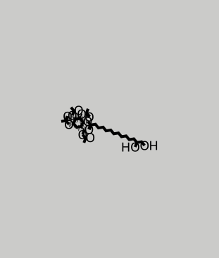 CC(=O)OC[C@H]1C[C@@H](OC(C)=O)[C@H](OC(C)=O)[C@@H](OC(C)=O)[C@@H]1OC(=O)CCCCCCCCCCCC(O)CO